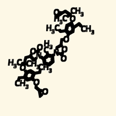 CCc1cc(OC(C)(C)CC2CN(c3cccc(N4CC(COc5cc(CC)c(OC(C)(C)CC6CO6)cc5CC)OC4=O)c3C)C(=O)O2)c(CC)cc1OCC1CO1